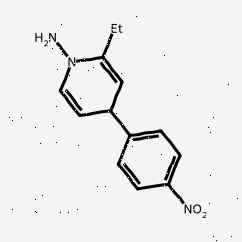 CCC1=CC(c2ccc([N+](=O)[O-])cc2)C=CN1N